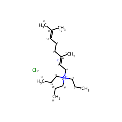 CCC[N+](C/C=C(\C)CCC=C(C)C)(CCC)CCC.[Cl-]